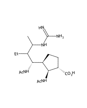 CCC(C(C)NC(=N)N)[C@@H](NC(C)=O)[C@H]1CC[C@H](C(=O)O)[C@H]1NC(C)=O